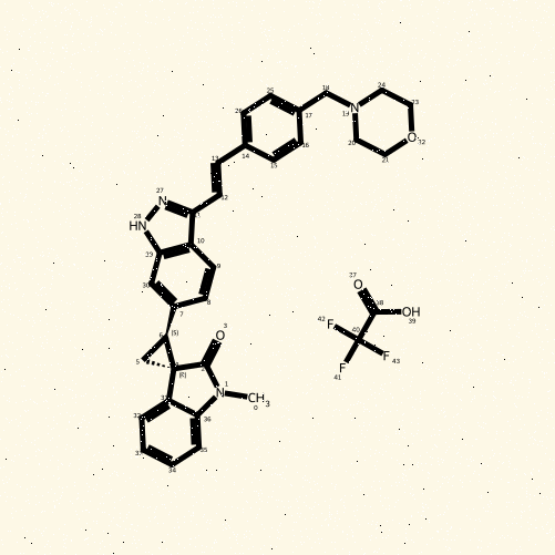 CN1C(=O)[C@@]2(C[C@H]2c2ccc3c(C=Cc4ccc(CN5CCOCC5)cc4)n[nH]c3c2)c2ccccc21.O=C(O)C(F)(F)F